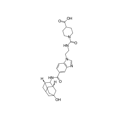 O=C(NC1[C@H]2CC3C[C@H]1CC(O)(C3)C2)c1ccc2c(c1)ncn2CCNC(=O)N1CCC(C(=O)O)CC1